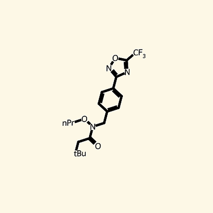 CCCON(Cc1ccc(-c2noc(C(F)(F)F)n2)cc1)C(=O)CC(C)(C)C